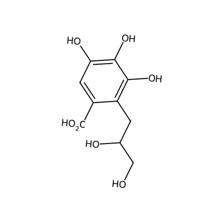 O=C(O)c1cc(O)c(O)c(O)c1CC(O)CO